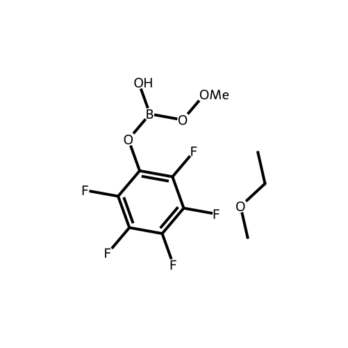 CCOC.COOB(O)Oc1c(F)c(F)c(F)c(F)c1F